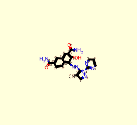 [C-]#[N+]c1cnn(-c2ncccn2)c1/N=N/c1c(O)c(C(N)=O)cc2cc(C(N)=O)ccc12